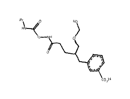 CC(C)NC(=O)ONC(=O)CCC(COCO)Cc1cccc(C(=O)O)c1